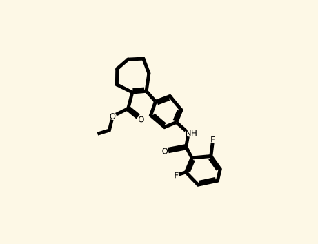 CCOC(=O)C1=C(c2ccc(NC(=O)c3c(F)cccc3F)cc2)CCCCC1